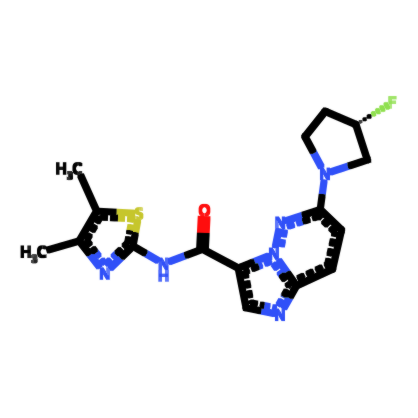 Cc1nc(NC(=O)c2cnc3ccc(N4CC[C@H](F)C4)nn23)sc1C